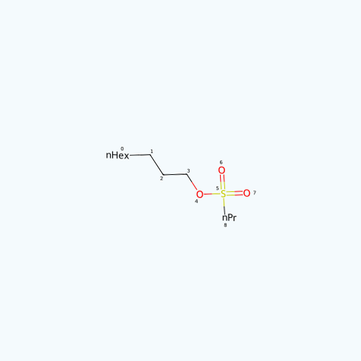 CCCCCCCCCOS(=O)(=O)CCC